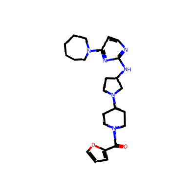 O=C(c1ccco1)N1CCC(N2CCC(Nc3nccc(N4CCCCCC4)n3)C2)CC1